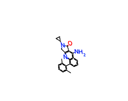 Cc1cccc(C)c1-c1cccc2c(N)c3c(nc12)CN(C1CC1)C3=O